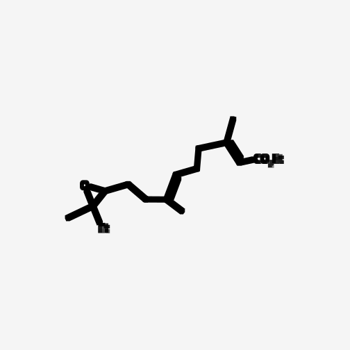 CCOC(=O)C=C(C)CCC=C(C)CCC1OC1(C)CC